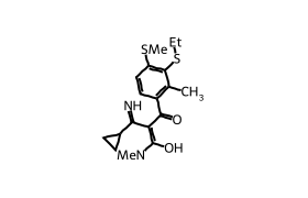 CCSc1c(SC)ccc(C(=O)/C(C(=N)C2CC2)=C(\O)NC)c1C